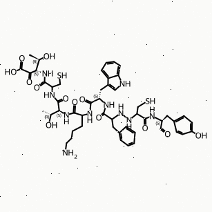 C[C@@H](O)[C@H](NC(=O)C(CCCCN)NC(=O)[C@H](Cc1c[nH]c2ccccc12)NC(=O)C(Cc1ccccc1)NNC(CS)C(=O)N[C@H](C=O)Cc1ccc(O)cc1)C(=O)NC(CS)C(=O)N[C@H](C(=O)C(=O)O)[C@@H](C)O